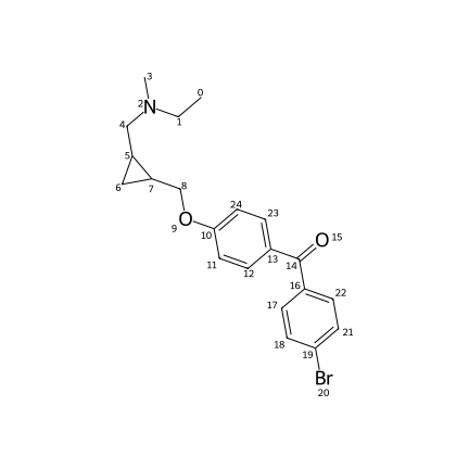 CCN(C)CC1CC1COc1ccc(C(=O)c2ccc(Br)cc2)cc1